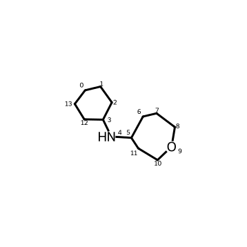 C1CCC(NC2CCCOCC2)CC1